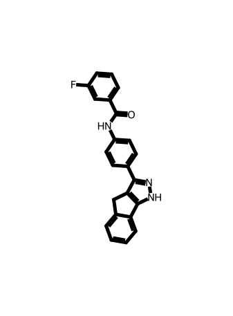 O=C(Nc1ccc(-c2n[nH]c3c2Cc2ccccc2-3)cc1)c1cccc(F)c1